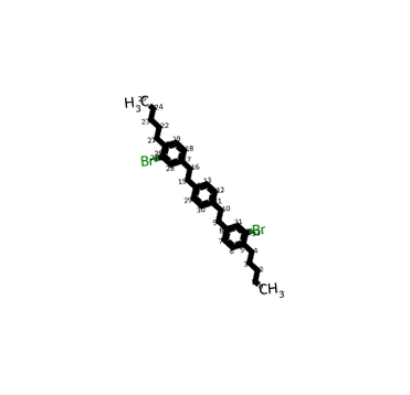 CCCCCc1ccc(CCc2ccc(CCc3ccc(CCCCC)c(Br)c3)cc2)cc1Br